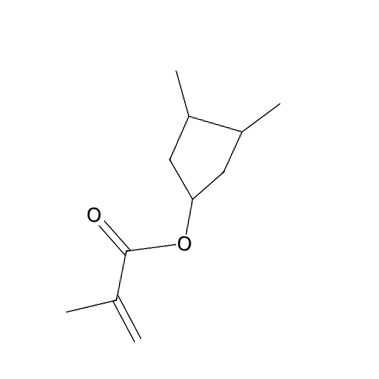 C=C(C)C(=O)OC1CC(C)C(C)C1